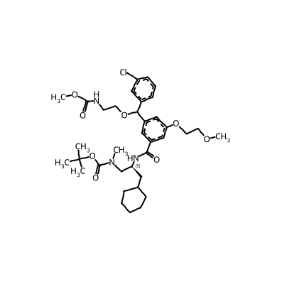 COCCOc1cc(C(=O)N[C@@H](CC2CCCCC2)CN(C)C(=O)OC(C)(C)C)cc(C(OCCNC(=O)OC)c2cccc(Cl)c2)c1